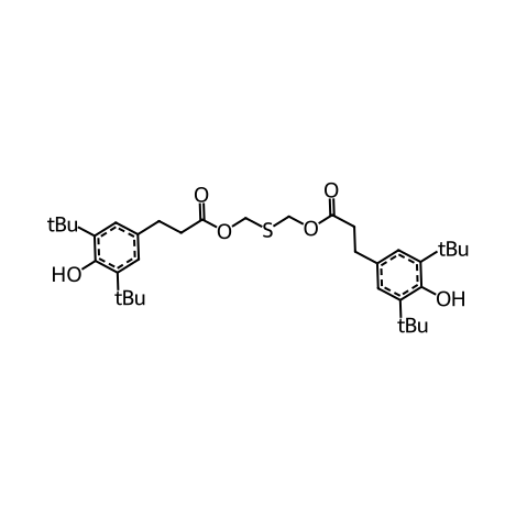 CC(C)(C)c1cc(CCC(=O)OCSCOC(=O)CCc2cc(C(C)(C)C)c(O)c(C(C)(C)C)c2)cc(C(C)(C)C)c1O